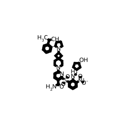 CC(C)c1ccccc1[C@@H]1CCCN1C1CC2(CCN(c3ccc(C(N)=O)c(S(=O)(=O)c4cccc([N+](=O)[O-])c4NC[C@@H]4CCC(O)C4)n3)CC2)C1